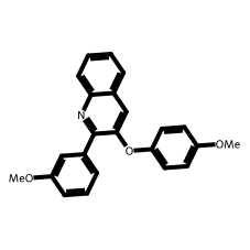 COc1ccc(Oc2cc3ccccc3nc2-c2cccc(OC)c2)cc1